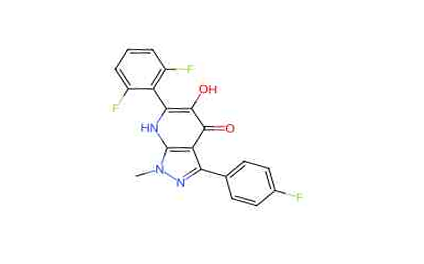 Cn1nc(-c2ccc(F)cc2)c2c(=O)c(O)c(-c3c(F)cccc3F)[nH]c21